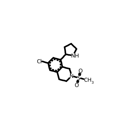 CS(=O)(=O)N1CCc2cc(Cl)cc(C3CCCN3)c2C1